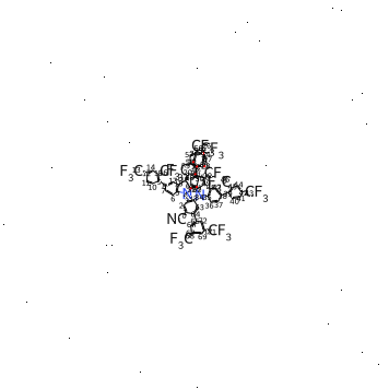 N#Cc1cc(-n2c3ccc(-c4ccc(C(F)(F)F)cc4C(F)(F)F)cc3c3cc(-c4ccc(C(F)(F)F)cc4C(F)(F)F)ccc32)c(-n2c3ccc(-c4ccc(C(F)(F)F)cc4C(F)(F)F)cc3c3cc(-c4ccc(C(F)(F)F)cc4C(F)(F)F)ccc32)cc1-c1cc(C(F)(F)F)cc(C(F)(F)F)c1